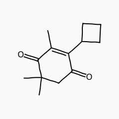 CC1=C(C2CCC2)C(=O)CC(C)(C)C1=O